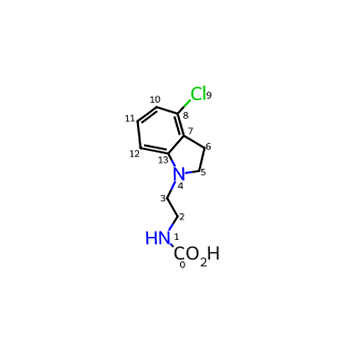 O=C(O)NCCN1CCc2c(Cl)cccc21